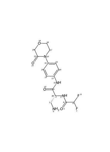 NC[C@@H](NC(=O)C(F)F)C(=O)Nc1ccc(N2CCOCC2=O)cc1